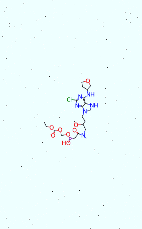 CCOC(=O)OCOP(O)CC(=O)N(C)CC(CCN1CNc2c(NC3CCOC3)nc(Cl)nc21)OC